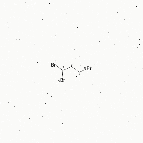 CCCCC(Br)Br